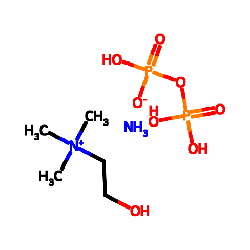 C[N+](C)(C)CCO.N.O=P([O-])(O)OP(=O)(O)O